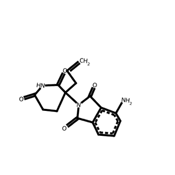 C=CCC1(N2C(=O)c3cccc(N)c3C2=O)CCC(=O)NC1=O